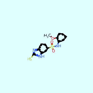 COc1ccccc1NS(=O)(=O)c1ccc2nc(S)[nH]c2c1